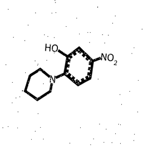 O=[N+]([O-])c1ccc(N2CC[CH]CC2)c(O)c1